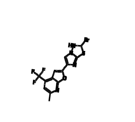 Cc1cc(C(F)(F)F)c2cc(-c3cn4c(n3)SC(Br)N4)oc2n1